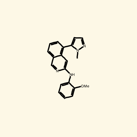 COc1c[c]ccc1Nc1cc2c(-c3ccnn3C)cccc2cn1